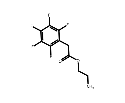 CCCOC(=O)Cc1c(F)c(F)c(F)c(F)c1F